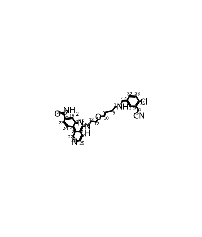 N#CCc1cc(CNCCCCOCCNc2nc3cc(C(N)=O)ccc3c3cnccc23)ccc1Cl